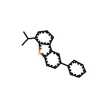 CC(C)c1cccc2c1sc1ccc(-c3ccccc3)cc12